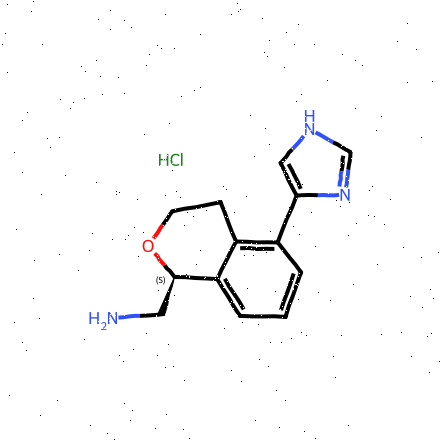 Cl.NC[C@H]1OCCc2c(-c3c[nH]cn3)cccc21